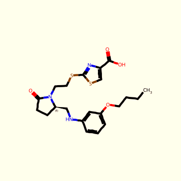 CCCCOc1cccc(NC[C@H]2CCC(=O)N2CCSc2nc(C(=O)O)cs2)c1